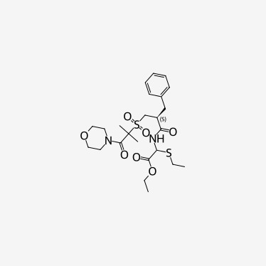 CCOC(=O)C(NC(=O)[C@H](Cc1ccccc1)CS(=O)(=O)C(C)(C)C(=O)N1CCOCC1)SCC